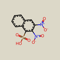 O=[N+]([O-])c1cc2ccccc2c(S(=O)(=O)O)c1[N+](=O)[O-]